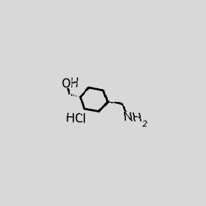 Cl.NC[C@H]1CC[C@H](CO)CC1